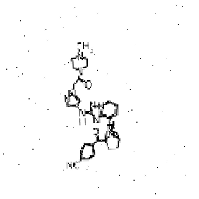 CN1CCN(C(=O)Cn2cc(Nc3nc4c(N5CC6CCC(C(=O)c7ccc(C#N)cc7)(C5)N6)cccn4n3)cn2)CC1